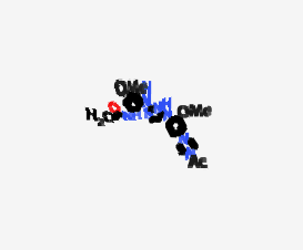 C=CC(=O)Nc1ccc(OC)c(Nc2nccc(Nc3ccc(N4CCN(C(C)=O)CC4)cc3OC)n2)c1